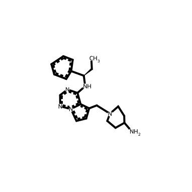 CC[C@@H](Nc1ncnn2ccc(CN3CCC(N)CC3)c12)c1ccccc1